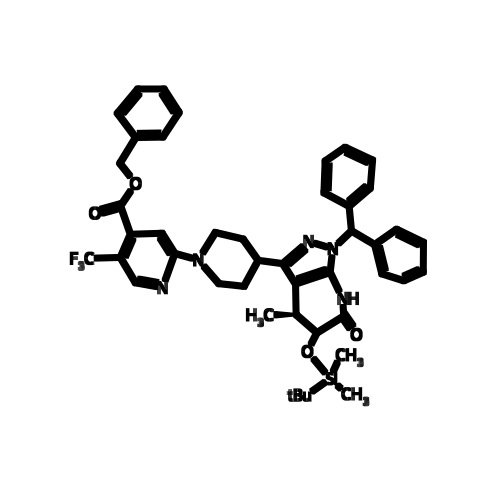 C[C@H]1c2c(C3CCN(c4cc(C(=O)OCc5ccccc5)c(C(F)(F)F)cn4)CC3)nn(C(c3ccccc3)c3ccccc3)c2NC(=O)C1O[Si](C)(C)C(C)(C)C